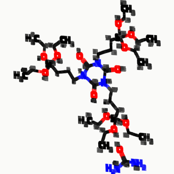 CCO[Si](CCCn1c(=O)n(CCC[Si](OCC)(OCC)OCC)c(=O)n(CCC[Si](OCC)(OCC)OCC)c1=O)(OCC)OCC.NC(N)=O